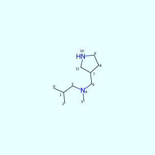 CC(C)CN(C)CC1CCNC1